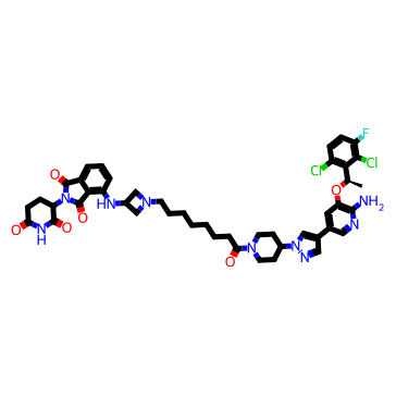 C[C@@H](Oc1cc(-c2cnn(C3CCN(C(=O)CCCCCCCN4CC(Nc5cccc6c5C(=O)N(C5CCC(=O)NC5=O)C6=O)C4)CC3)c2)cnc1N)c1c(Cl)ccc(F)c1Cl